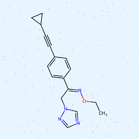 CCON=C(Cn1cncn1)c1ccc(C#CC2CC2)cc1